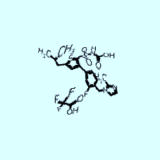 Cc1nccn1Cc1ccc(-c2cc(CC(C)C)sc2S(=O)(=O)NC(=O)O)cc1F.O=C(O)C(F)(F)F